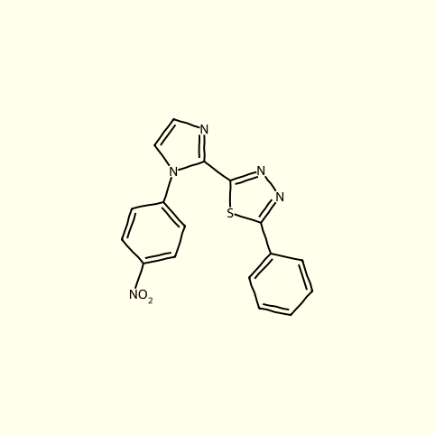 O=[N+]([O-])c1ccc(-n2ccnc2-c2nnc(-c3ccccc3)s2)cc1